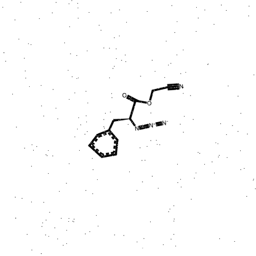 N#CCOC(=O)[C@H](Cc1ccccc1)N=[N+]=[N-]